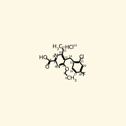 CCOc1nc(C(=O)O)nc(CC)c1Cc1ccc(F)cc1Cl.Cl